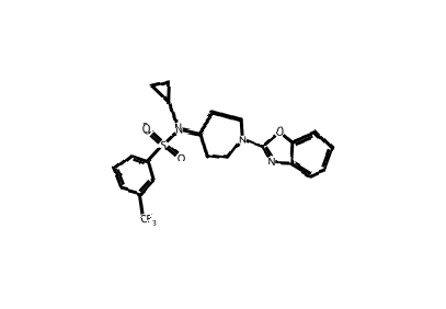 O=S(=O)(c1cccc(C(F)(F)F)c1)N(C1CC1)C1CCN(c2nc3ccccc3o2)CC1